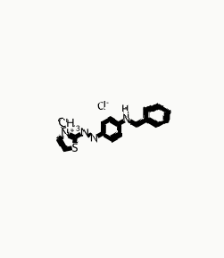 C[n+]1ccsc1/N=N/c1ccc(NCc2ccccc2)cc1.[Cl-]